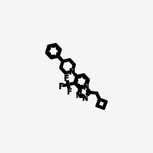 FC(F)(F)c1c(N2CCC(c3ccccc3)CC2)ccn2c(CC3CCC3)nnc12